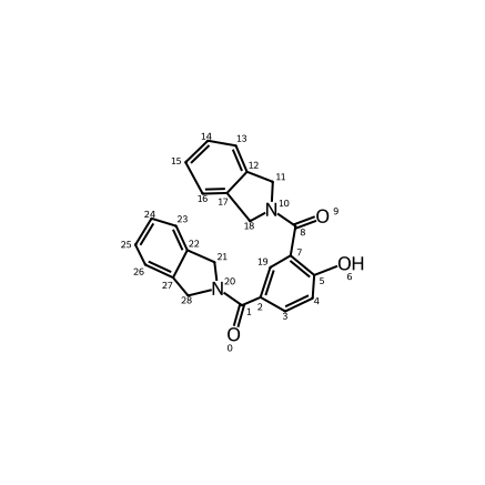 O=C(c1ccc(O)c(C(=O)N2Cc3ccccc3C2)c1)N1Cc2ccccc2C1